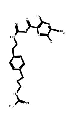 CC(=N)NCCCc1ccc(CCNC(=N)NC(=O)c2nc(Cl)c(N)nc2N)cc1